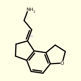 NC/C=C1\CCc2ccc3c(c21)CCO3